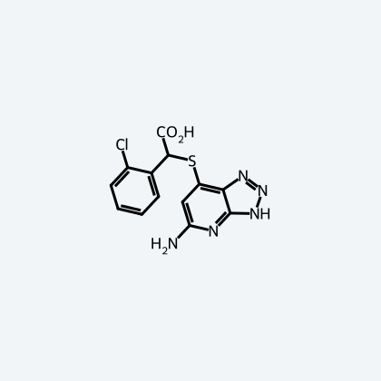 Nc1cc(SC(C(=O)O)c2ccccc2Cl)c2nn[nH]c2n1